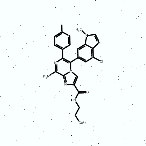 COCCNC(=O)c1cn2c(-c3cc(Cl)c4ncn(C)c4c3)c(-c3ccc(F)cc3)nc(N)c2n1